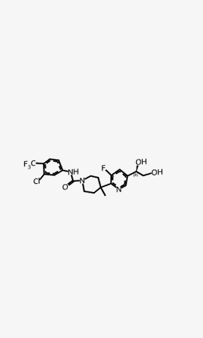 CC1(c2ncc([C@@H](O)CO)cc2F)CCN(C(=O)Nc2ccc(C(F)(F)F)c(Cl)c2)CC1